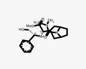 COC(=O)[C@@H](N[C@@H](CO)c1ccccc1)C1CC2CCC(C1)N2C(=O)N(C)C